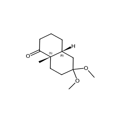 COC1(OC)CC[C@]2(C)C(=O)CCC[C@@H]2C1